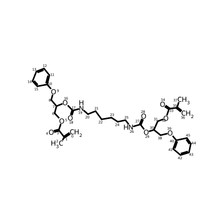 C=C(C)C(=O)OCC(COc1ccccc1)OC(=O)NCCCCCCNC(=O)OC(COC(=O)C(=C)C)COc1ccccc1